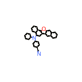 N#Cc1ccc(N(c2ccccc2)c2cc3c4cc5ccccc5cc4oc3c3ccccc23)cc1